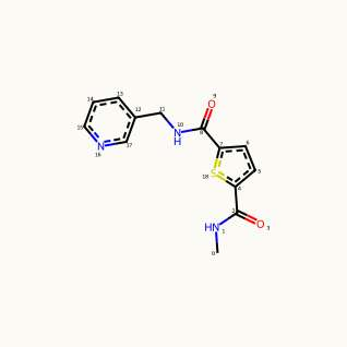 CNC(=O)c1ccc(C(=O)NCc2cccnc2)s1